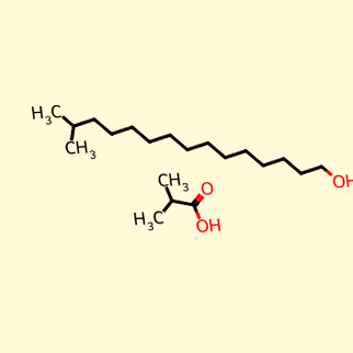 CC(C)C(=O)O.CC(C)CCCCCCCCCCCCCO